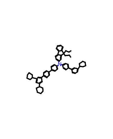 CCCC1(CCC)c2ccccc2-c2ccc(N(c3ccc(-c4ccc(-c5cc(C6CCCCC6)cc(C6CCCCC6)c5)cc4)cc3)c3ccc(-c4cccc(C5CCCCC5)c4)cc3)cc21